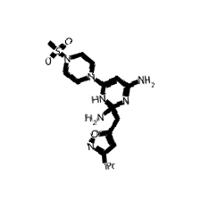 CC(C)c1cc(CC2(N)N=C(N)C=C(N3CCN(S(C)(=O)=O)CC3)N2)on1